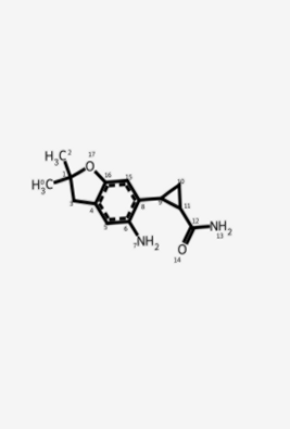 CC1(C)Cc2cc(N)c(C3CC3C(N)=O)cc2O1